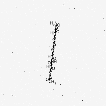 CC(=O)OCCSCCC(=O)NCC(=O)NCC(=O)NCCCOCCOCCOCCCNC(=O)COCC(N)=O